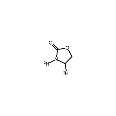 [2H]C1COC(=O)N1[2H]